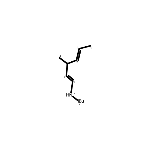 CC=CC(C)C=CNC(C)CC